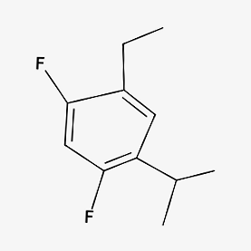 CCc1cc(C(C)C)c(F)cc1F